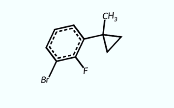 CC1(c2cccc(Br)c2F)CC1